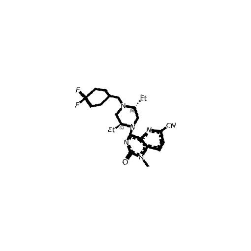 CC[C@@H]1CN(c2nc(=O)n(C)c3ccc(C#N)nc23)[C@@H](CC)CN1CC1CCC(F)(F)CC1